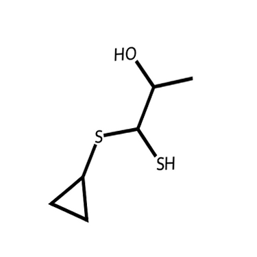 CC(O)C(S)SC1CC1